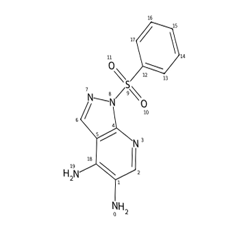 Nc1cnc2c(cnn2S(=O)(=O)c2ccccc2)c1N